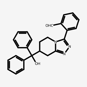 O=Cc1ccccc1-c1nnc2n1CCC(C(O)(c1ccccc1)c1ccccc1)C2